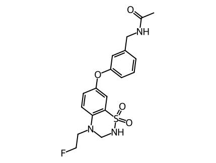 CC(=O)NCc1cccc(Oc2ccc3c(c2)S(=O)(=O)NCN3CCF)c1